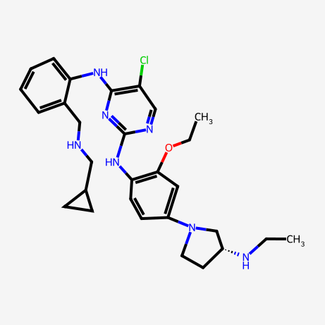 CCN[C@@H]1CCN(c2ccc(Nc3ncc(Cl)c(Nc4ccccc4CNCC4CC4)n3)c(OCC)c2)C1